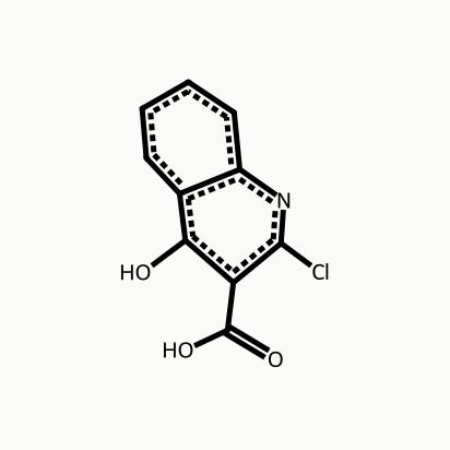 O=C(O)c1c(Cl)nc2ccccc2c1O